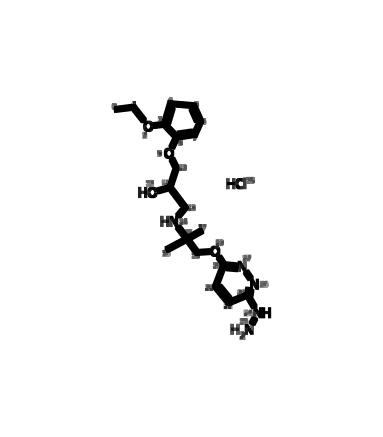 CCOc1ccccc1OCC(O)CNC(C)(C)COc1ccc(NN)nn1.Cl